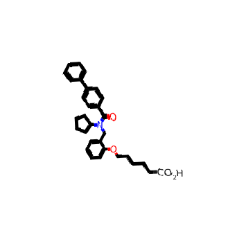 O=C(O)CCCCCOc1ccccc1CN(C(=O)c1ccc(-c2ccccc2)cc1)C1CCCC1